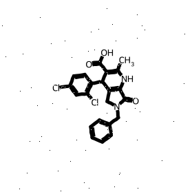 CC1=C(C(=O)O)C(c2ccc(Cl)cc2Cl)C2=C(N1)C(=O)N(Cc1ccccc1)C2